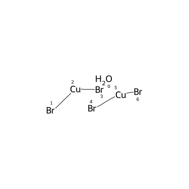 O.[Br][Cu][Br].[Br][Cu][Br]